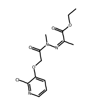 CCOC(=O)C(C)=NN(C)C(=O)COc1cccnc1Cl